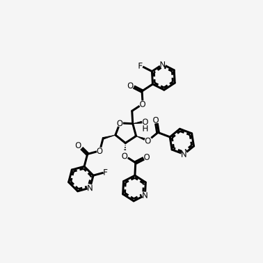 O=C(O[C@@H]1[C@@H](COC(=O)c2cccnc2F)O[C@](O)(COC(=O)c2cccnc2F)[C@H]1OC(=O)c1cccnc1)c1cccnc1